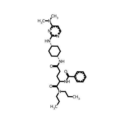 CCCN(CCC)C(=O)C(CCC(=O)N[C@H]1CC[C@@H](Nc2nccc(N(C)C)n2)CC1)NC(=O)c1ccccc1